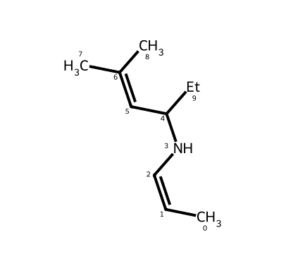 C/C=C\NC(C=C(C)C)CC